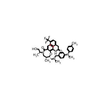 Cc1ccc(N(C)c2ccc(CN(C)C[C@H]3Oc4c(NC(=O)Cc5ccc(C(F)(F)F)cc5)cccc4C(=O)N([C@@H](C)CO)C[C@H]3C)cc2)cc1